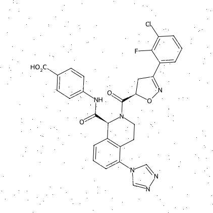 O=C(O)c1ccc(NC(=O)[C@@H]2c3cccc(-n4cnnc4)c3CCN2C(=O)[C@H]2CC(c3cccc(Cl)c3F)=NO2)cc1